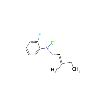 CC/C(C)=C/CN(Cl)c1ccccc1F